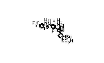 CC(C)(C)C1CC(c2cc(-c3cc(F)c(NC(=O)Nc4cc(C(F)(F)F)ccc4F)cc3F)c3c(N)ncnn23)CCN1C(=O)O